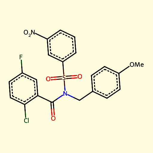 COc1ccc(CN(C(=O)c2cc(F)ccc2Cl)S(=O)(=O)c2cccc([N+](=O)[O-])c2)cc1